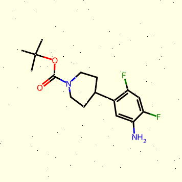 CC(C)(C)OC(=O)N1CCC(c2cc(N)c(F)cc2F)CC1